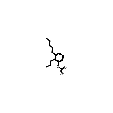 CCCCCc1cccc(OC(=O)O)c1CCC